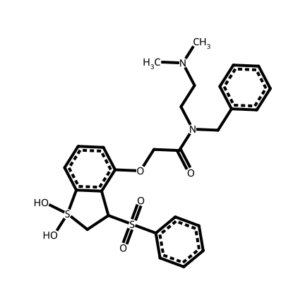 CN(C)CCN(Cc1ccccc1)C(=O)COc1cccc2c1C(S(=O)(=O)c1ccccc1)CS2(O)O